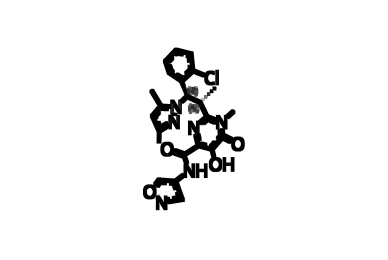 Cc1cc(C)n([C@@H](c2ccccc2Cl)[C@H](C)c2nc(C(=O)Nc3cnoc3)c(O)c(=O)n2C)n1